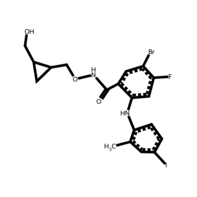 Cc1cc(I)ccc1Nc1cc(F)c(Br)cc1C(=O)NOCC1CC1CO